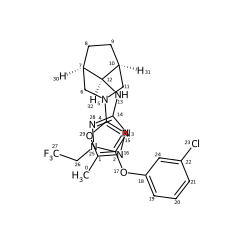 Cc1nnc(N2C[C@H]3CC[C@@H](C2)[C@H]3Nc2nc(Oc3cccc(Cl)c3)n(CC(F)(F)F)n2)o1